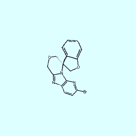 Brc1ccc2nc3n(c2n1)[C@]1(COC3)COc2ccccc21